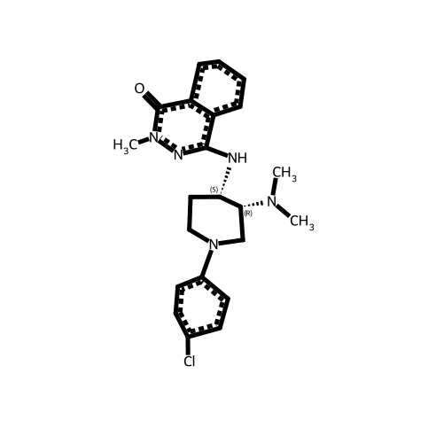 CN(C)[C@@H]1CN(c2ccc(Cl)cc2)CC[C@@H]1Nc1nn(C)c(=O)c2ccccc12